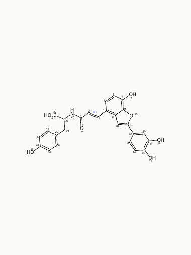 O=C(/C=C/c1ccc(O)c2oc(-c3ccc(O)c(O)c3)cc12)NC(Cc1ccc(O)cc1)C(=O)O